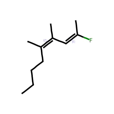 CCCC/C(C)=C(C)\C=C(/C)F